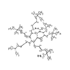 CC(C)OCCOC(C(COCCOC(C)(C)C)OCCOC(C)(C)C)C(OCCOC(C)(C)C)C(COCCOC(C)(C)C)OCCOC(C)(C)C